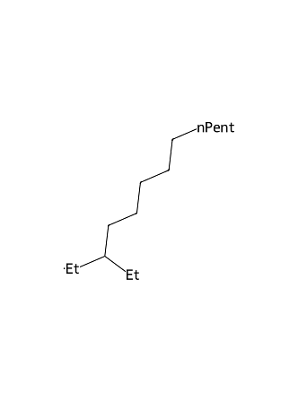 C[CH]C(CC)CCCCCCCCCC